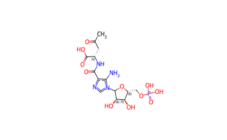 CC(=O)C[C@H](NC(=O)c1ncn(C2O[C@H](COP(=O)(O)O)[C@@H](O)[C@H]2O)c1N)C(=O)O